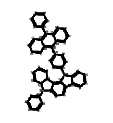 C1=CC2c3c(ccc4c5ccccc5n(-c5ccc(-c6c7ccccc7c(-c7ccccc7)c7ccccc67)cc5)c34)N(c3ccccc3)C2C=C1